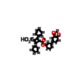 O=C(Oc1cccc(-c2ccc3c(c2)OCO3)c1)C1C(c2ccccc2)[C@@H](C(=O)O)[C@H]1c1ccccc1